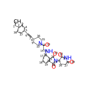 C=Cc1ccc(C#CC2CCN(C(=O)CNc3cccc4c3C(=O)N(C3CCC(=O)NC3=O)C4=O)CC2)cc1